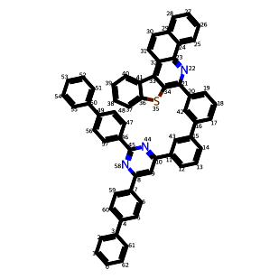 c1ccc(-c2ccc(-c3cc(-c4cccc(-c5cccc(-c6nc7c8ccccc8ccc7c7c6sc6ccccc67)c5)c4)nc(-c4ccc(-c5ccccc5)cc4)n3)cc2)cc1